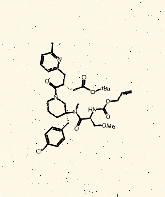 C=CCOC(=O)N[C@@H](COC)C(=O)N(C)[C@@]1(Cc2ccc(Cl)cc2)CCCN(C(=O)[C@@H](CC(=O)OC(C)(C)C)Cc2cccc(C)n2)C1